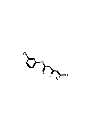 O=C(C=C(Cl)Cl)CC(=O)Nc1cccc(Cl)c1